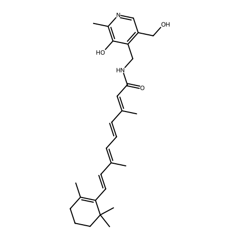 CC1=C(/C=C/C(C)=C/C=C/C(C)=C/C(=O)NCc2c(CO)cnc(C)c2O)C(C)(C)CCC1